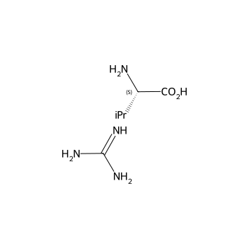 CC(C)[C@H](N)C(=O)O.N=C(N)N